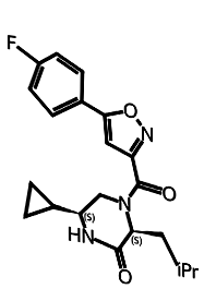 CC(C)C[C@H]1C(=O)N[C@@H](C2CC2)CN1C(=O)c1cc(-c2ccc(F)cc2)on1